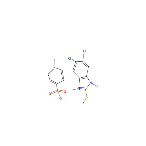 CSc1n(C)c2cc(Cl)c(Cl)cc2[n+]1C.Cc1ccc(S(=O)(=O)[O-])cc1